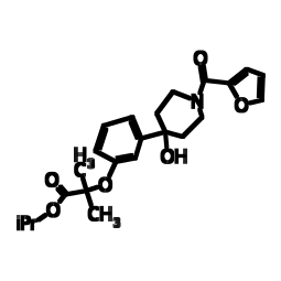 CC(C)OC(=O)C(C)(C)Oc1cccc(C2(O)CCN(C(=O)c3ccco3)CC2)c1